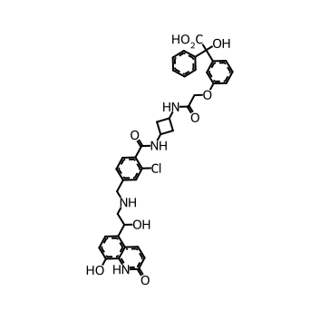 O=C(COc1cccc(C(O)(C(=O)O)c2ccccc2)c1)NC1CC(NC(=O)c2ccc(CNCC(O)c3ccc(O)c4[nH]c(=O)ccc34)cc2Cl)C1